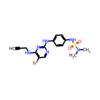 C#CCNc1nc(Nc2ccc(NS(=O)(=O)N(C)C)cc2)ncc1Br